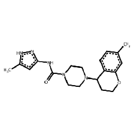 Cc1cc(NC(=O)N2CCN(C3CCOc4cc(C(F)(F)F)ccc43)CC2)n[nH]1